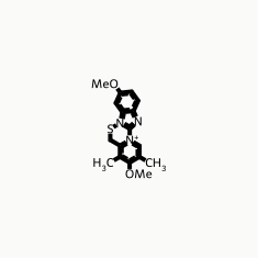 COc1ccc2nc3n(c2c1)SCc1c(C)c(OC)c(C)c[n+]1-3